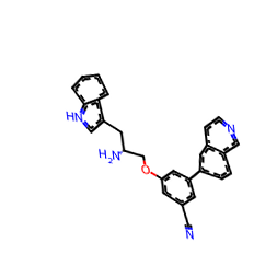 N#Cc1cc(OC[C@H](N)Cc2c[nH]c3ccccc23)cc(-c2ccc3cnccc3c2)c1